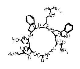 CCC(O)CN1C(=O)NC(Cc2ccccc2)C(=O)N[C@@H](CCCNC(=N)N)C(=O)N[C@@H](Cc2c[nH]c3ccccc23)C(=O)NC(C(N)=O)CCCNC(=O)CCC(NC(=O)CNC(C)=O)C1=O